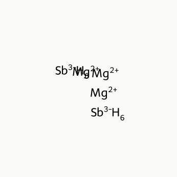 [Mg+2].[Mg+2].[Mg+2].[SbH6-3].[SbH6-3]